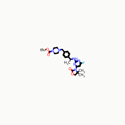 C[C@H](Nc1nc(F)cc(N2C(=O)OCC2(C)C)n1)c1ccc(CN2CCN(C(=O)OC(C)(C)C)CC2)cc1